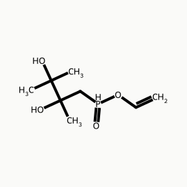 C=CO[PH](=O)CC(C)(O)C(C)(C)O